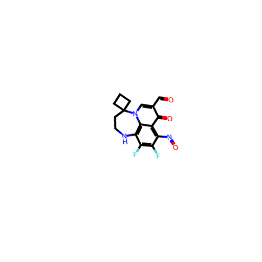 O=Cc1cn2c3c(c(F)c(F)c(N=O)c3c1=O)NCCC21CCC1